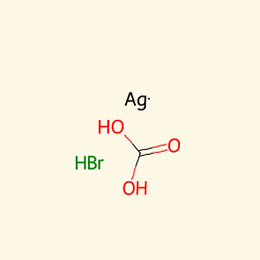 Br.O=C(O)O.[Ag]